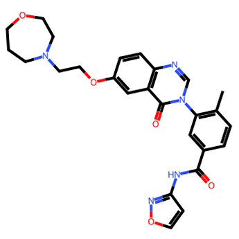 Cc1ccc(C(=O)Nc2ccon2)cc1-n1cnc2ccc(OCCN3CCCOCC3)cc2c1=O